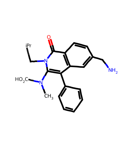 CC(C)Cn1c(N(C)C(=O)O)c(-c2ccccc2)c2cc(CN)ccc2c1=O